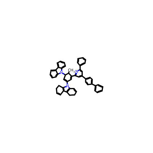 CC1C(c2cc(-c3ccc(-c4ccccc4)cc3)cc(-c3ccccc3)n2)=CC(n2c3c(c4c2CCC=C4)CCC=C3)=CC1n1c2ccccc2c2ccccc21